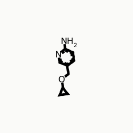 Nc1ccc(COC2CC2)cn1